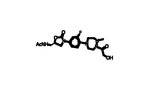 CC(=O)NC[C@H]1CN(c2ccc(N3CCN(C)N(C(=O)CO)CC3)c(F)c2)C(=O)O1